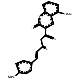 COc1ccc(C=CC(=O)CC(=O)c2cc3c(OC)cccc3oc2=O)cc1